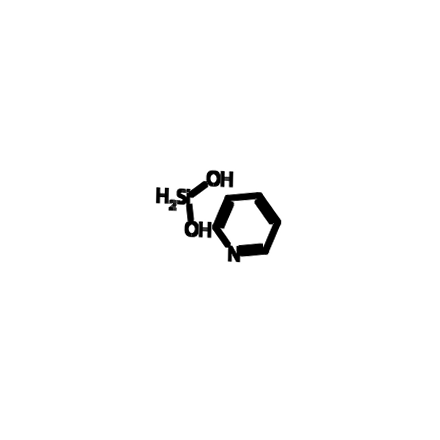 O[SiH2]O.c1ccncc1